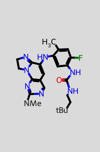 CNc1ncc2c(n1)N1CCN=C1C(Nc1cc(NC(=O)NCCC(C)(C)C)c(F)cc1C)=C2